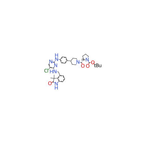 CC(C)(C)OC(=O)N1CCC[C@H]1C(=O)N1CCC(c2ccc(Nc3ncc(Cl)c(NCc4cccc5c4C(C)(C)C(=O)N5)n3)cc2)CC1